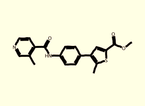 COC(=O)c1cc(-c2ccc(NC(=O)c3ccncc3C)cc2)c(C)s1